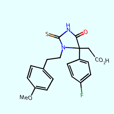 COc1ccc(CCN2C(=S)NC(=O)C2(CC(=O)O)c2ccc(F)cc2)cc1